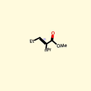 [CH2]OC(=O)/C(=C/CC)CCC